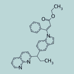 CCOC(=O)C=C(c1ccccc1)n1ccc2cc(C(CC)c3ccc4cccnc4n3)ccc21